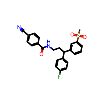 CS(=O)(=O)c1cccc(C(CCNC(=O)c2ccc(C#N)cc2)c2ccc(F)cc2)c1